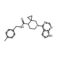 Cc1ccc(CNC(=O)C2CCN(c3ncnc4[nH]ccc34)CC23CC3)cc1